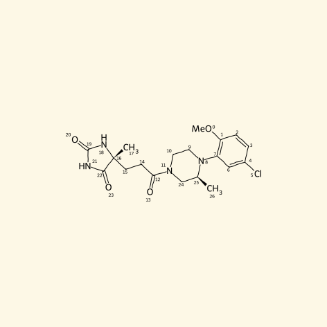 COc1ccc(Cl)cc1N1CCN(C(=O)CC[C@@]2(C)NC(=O)NC2=O)C[C@@H]1C